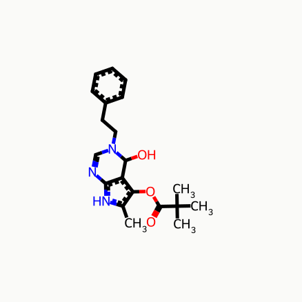 Cc1[nH]c2c(c1OC(=O)C(C)(C)C)C(O)N(CCc1ccccc1)C=N2